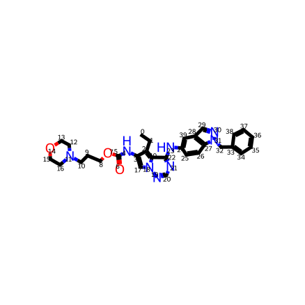 CCc1c(NC(=O)OCCCN2CCOCC2)cn2ncnc(Nc3ccc4c(cnn4Cc4ccccc4)c3)c12